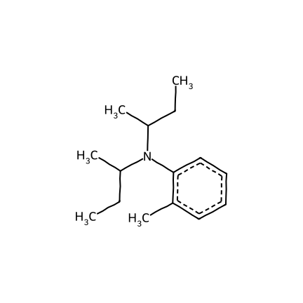 CCC(C)N(c1ccccc1C)C(C)CC